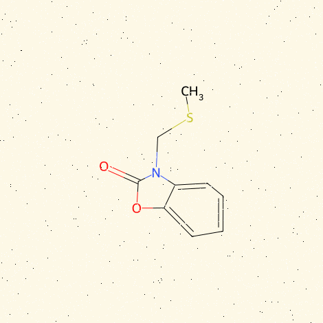 CSCn1c(=O)oc2ccccc21